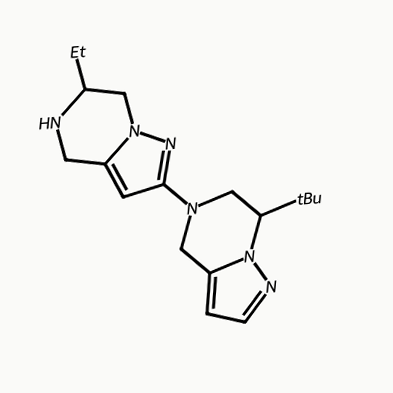 CCC1Cn2nc(N3Cc4ccnn4C(C(C)(C)C)C3)cc2CN1